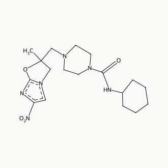 CC1(CN2CCN(C(=O)NC3CCCCC3)CC2)Cn2cc([N+](=O)[O-])nc2O1